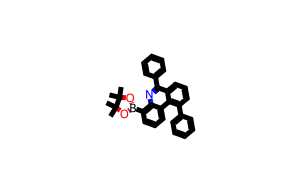 CC1(C)OB(c2cccc3c2nc(-c2ccccc2)c2cccc(-c4ccccc4)c23)OC1(C)C